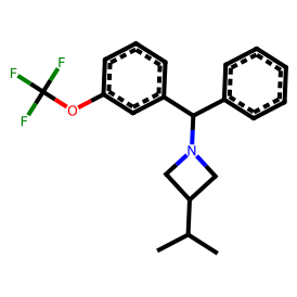 CC(C)C1CN(C(c2ccccc2)c2cccc(OC(F)(F)F)c2)C1